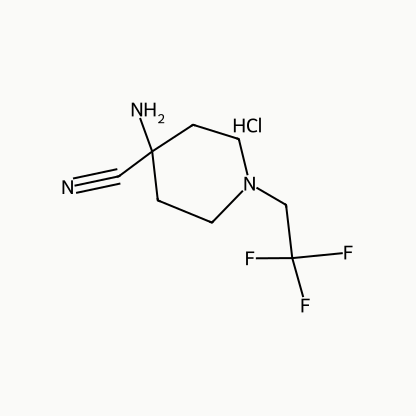 Cl.N#CC1(N)CCN(CC(F)(F)F)CC1